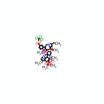 CCC1=C[C@H]2CN(C1)Cc1c([nH]c3ccc(C(=O)OCC(Cl)(Cl)Cl)cc13)[C@@](C(=O)OC)(C1C=C3C(=CC1OC)N(C)[C@H]1[C@@](O)(C(=O)OC)[C@H](OC(C)=O)C4[C@@H](CC)CCN5CC[C@]31[C@H]45)C2